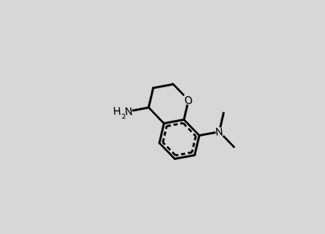 CN(C)c1cccc2c1OCCC2N